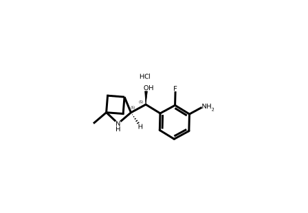 CC12CC(C1)[C@@H]([C@@H](O)c1cccc(N)c1F)N2.Cl